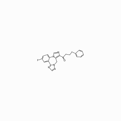 O=C(CCCc1ccccc1)c1ncn2c1Cn1ncnc1-c1cc(F)ccc1-2